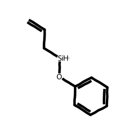 C=CC[SiH]Oc1ccccc1